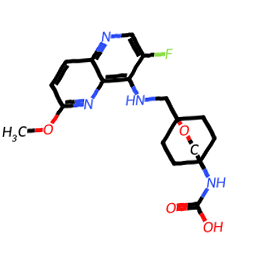 COc1ccc2ncc(F)c(NCC34CCC(NC(=O)O)(CC3)CO4)c2n1